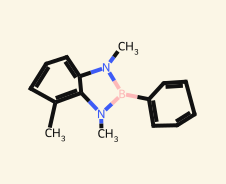 Cc1cccc2c1N(C)B(c1ccccc1)N2C